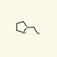 CC(C)C[SiH]1CCCN1